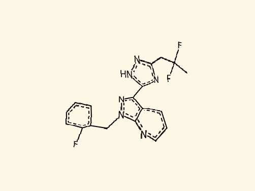 CC(F)(F)Cc1n[nH]c(-c2nn(Cc3ccccc3F)c3ncccc23)n1